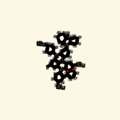 Cc1cc2c3c(c1)N(c1ccc(C(C)(C)C)cc1-c1ccccc1)c1ccc(C(C)(C)C)cc1B3c1ccc(N3c4ccccc4C4(C)CCCCC34C)cc1N2c1ccc(C(C)(C)C)cc1